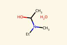 CCN(C)C(C)O.O